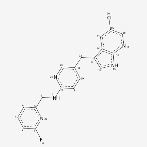 Fc1cccc(CNc2ccc(Cc3c[nH]c4ncc(Cl)cc34)cn2)n1